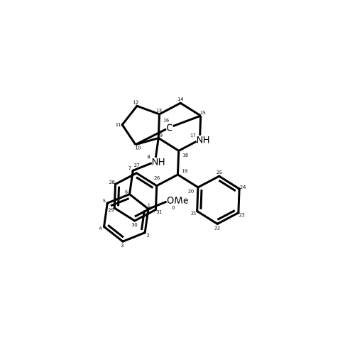 COc1ccccc1CNC12C3CCC1CC(C3)NC2C(c1ccccc1)c1ccccc1